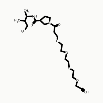 C#CCOCCOCCOCCOCCC(=O)N1CCC(C(=O)NC(C)C(C)CC)C1